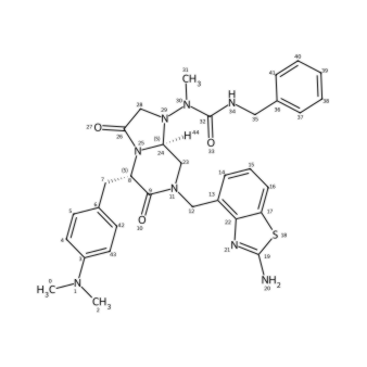 CN(C)c1ccc(C[C@H]2C(=O)N(Cc3cccc4sc(N)nc34)C[C@H]3N2C(=O)CN3N(C)C(=O)NCc2ccccc2)cc1